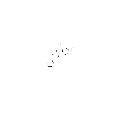 COc1ccc(-n2nc3c4ccc(C(F)(F)F)cc4[nH]cc-3c2=O)cc1